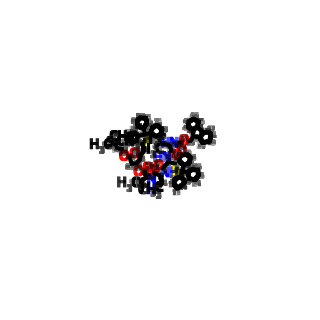 CC=C(NC(=O)C(CSC(c1ccccc1)(c1ccccc1)c1ccccc1)NC(=O)C(NC(=O)OCC1c2ccccc2-c2ccccc21)C(C)C)C(=O)NC(C(=O)OC(C=CCCSC(c1ccccc1)(c1ccccc1)c1ccccc1)CC(=O)OCC[Si](C)(C)C)C(C)C